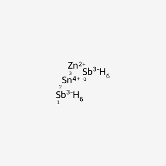 [SbH6-3].[SbH6-3].[Sn+4].[Zn+2]